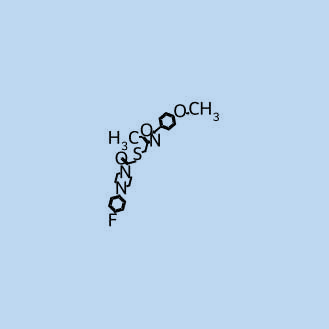 CCOc1ccc(-c2nc(CSCC(=O)N3CCN(c4ccc(F)cc4)CC3)c(C)o2)cc1